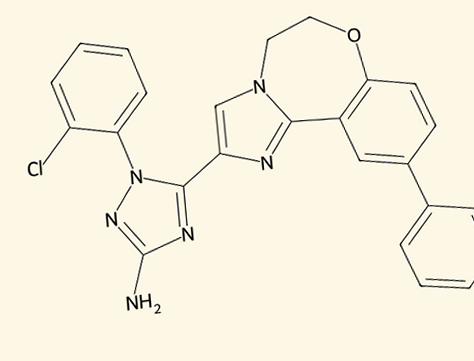 Nc1nc(-c2cn3c(n2)-c2cc(-c4ccccc4)ccc2OCC3)n(-c2ccccc2Cl)n1